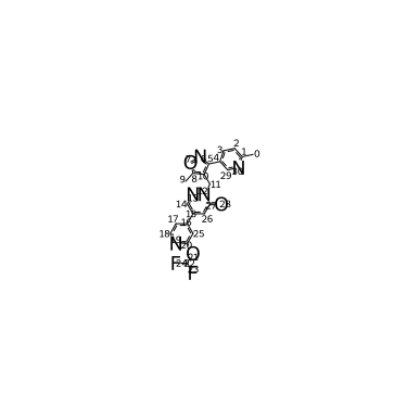 Cc1ccc(-c2noc(C)c2Cn2ncc(-c3ccnc(OC(F)F)c3)cc2=O)cn1